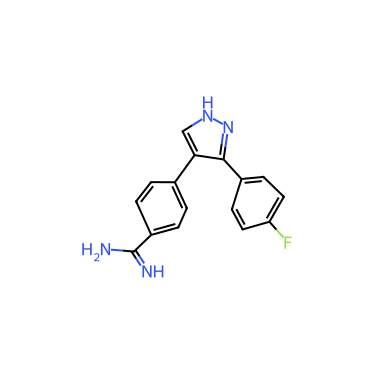 N=C(N)c1ccc(-c2c[nH]nc2-c2ccc(F)cc2)cc1